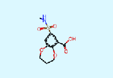 CNS(=O)(=O)c1cc2c(c(C(=O)O)c1)OCCCO2